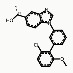 COc1cccc(Cl)c1-c1cccc(-n2cnc3cc([C@@H](C)O)ccc32)c1